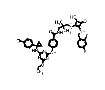 CC(C)(CNC(=O)c1ccc(Nc2nc(NC3(c4ccc(Cl)cc4)CC3)nc(OCC(F)(F)F)n2)cc1)CNC1=C(NCc2ccc(F)cc2F)C(=O)C1O